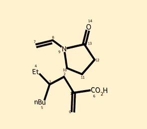 C=C(CC(CC)CCCC)C(=O)O.C=CN1CCCC1=O